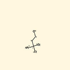 CCCC(CC)(CC)CC[O]